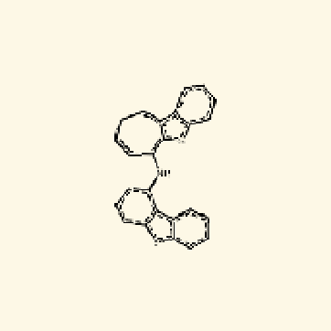 C1=CC(Nc2cccc3sc4ccccc4c23)=c2sc3ccccc3c2=CC1